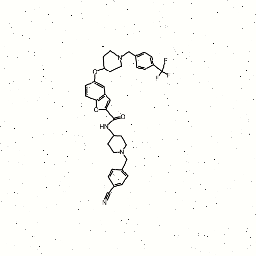 N#Cc1ccc(CN2CCC(NC(=O)c3cc4cc(OC5CCN(Cc6ccc(C(F)(F)F)cc6)CC5)ccc4o3)CC2)cc1